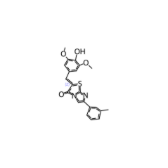 COc1cc(/C=c2\sc3nc(-c4cccc(C)c4)cn3c2=O)cc(OC)c1O